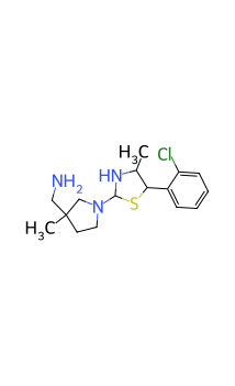 CC1NC(N2CCC(C)(CN)C2)SC1c1ccccc1Cl